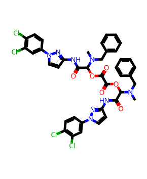 CN(Cc1ccccc1)C(OC(=O)C(=O)OC(C(=O)Nc1ccn(-c2ccc(Cl)c(Cl)c2)n1)N(C)Cc1ccccc1)C(=O)Nc1ccn(-c2ccc(Cl)c(Cl)c2)n1